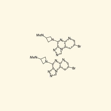 CNC1CN(c2nc3ncc(Br)cc3n3cnnc23)C1.CNC1CN(c2nc3ncc(Br)cc3n3cnnc23)C1